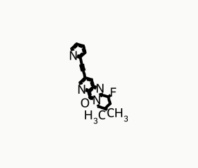 CC1(C)CC(F)c2nc3cc(C#Cc4ccccn4)cnc3c(=O)n2C1